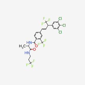 CC(NC(=O)c1ccc(/C=C/C(c2cc(Cl)c(Cl)c(Cl)c2)C(F)(F)F)cc1C(F)(F)F)C(=O)NCCC(F)(F)F